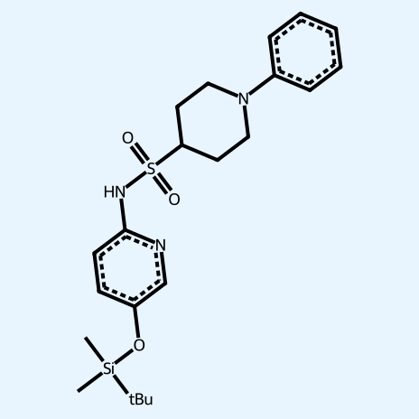 CC(C)(C)[Si](C)(C)Oc1ccc(NS(=O)(=O)C2CCN(c3ccccc3)CC2)nc1